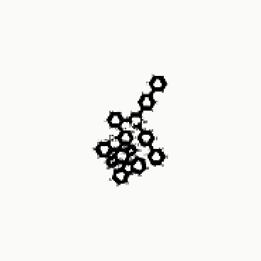 c1ccc(-c2ccc(-c3cc(-c4ccccc4-c4cccc5c4Oc4ccccc4C54c5ccccc5C5(c6ccccc6-c6ccccc65)c5ccccc54)nc(-c4ccc(-c5ccccc5)cc4)n3)cc2)cc1